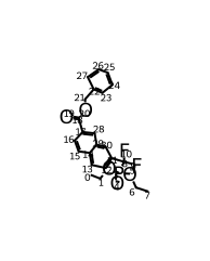 CCOP(=O)(OCC)C(F)(F)c1ccc2ccc(C(=O)OCc3ccccc3)cc2c1